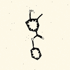 Cc1cc(C(=O)Oc2ccccc2)ccc1N